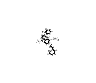 N.NC1(c2ccc(OCCN3CCCCC3)cc2)N=CN(c2ccccc2F)N1